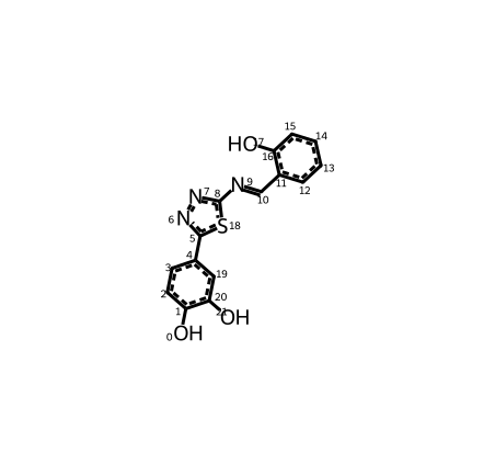 Oc1ccc(-c2nnc(N=Cc3ccccc3O)s2)cc1O